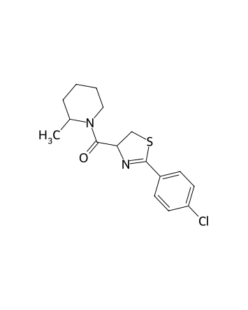 CC1CCCCN1C(=O)C1CSC(c2ccc(Cl)cc2)=N1